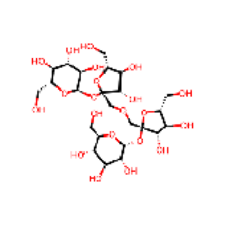 OC[C@H]1O[C@@](COC[C@@]2(O[C@H]3O[C@H](CO)[C@@H](O)[C@H](O)[C@H]3O)O[C@H](CO)[C@@H](O)[C@@H]2O)(O[C@H]2O[C@H](CO)[C@@H](O)[C@H](O)[C@H]2O)[C@@H](O)[C@@H]1O